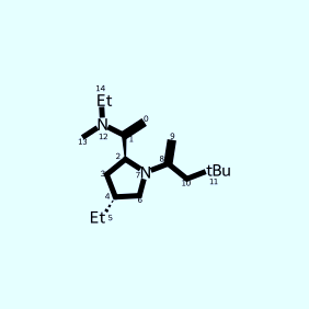 C=C([C@@H]1C[C@@H](CC)CN1C(=C)CC(C)(C)C)N(C)CC